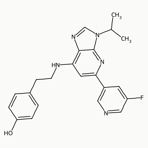 CC(C)n1cnc2c(NCCc3ccc(O)cc3)cc(-c3cncc(F)c3)nc21